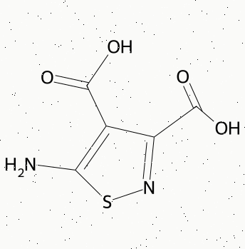 Nc1snc(C(=O)O)c1C(=O)O